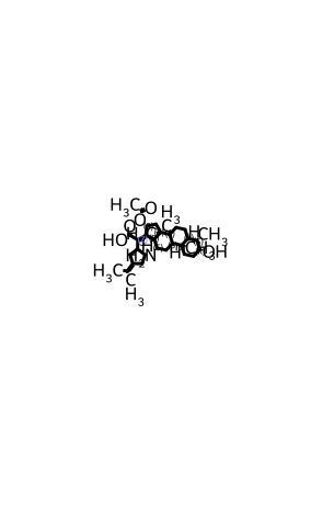 CC(=O)O[C@H]1C[C@@]2(C)[C@H](/C1=C(/C(=O)O)C1CCC(=C(C)C)C1)[C@@H](N)C[C@H]1[C@@]3(C)CC[C@@H](O)[C@@H](C)[C@@H]3CC[C@@]12C